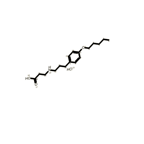 CCCCCOc1ccc(CCCNCCC(=O)O)cc1.Cl